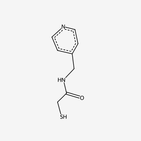 O=C(CS)NCc1ccncc1